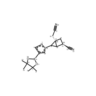 CC1(C)OB(c2cnn(C3C4[C@H](C#N)C[C@@]43CC#N)c2)OC1(C)C